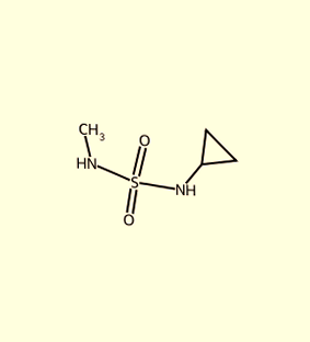 CNS(=O)(=O)NC1CC1